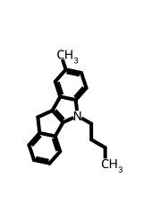 CCCCn1c2c(c3cc(C)ccc31)Cc1ccccc1-2